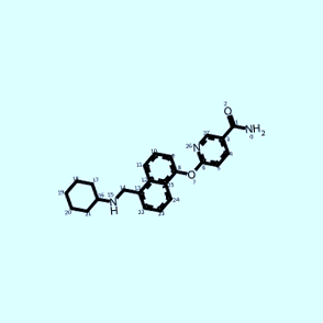 NC(=O)c1ccc(Oc2cccc3c(CNC4CCCCC4)cccc23)nc1